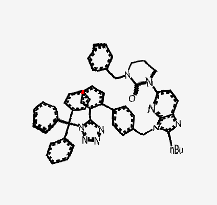 CCCCc1nc2ccc(N3CCCN(Cc4ccccc4)C3=O)nc2n1Cc1ccc(-c2ccccc2-c2nnnn2C(c2ccccc2)(c2ccccc2)c2ccccc2)cc1